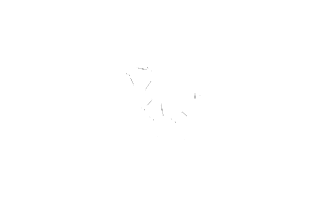 CC(C)OC(=O)N(C)c1cc(-c2cncnc2)nn1C(F)F